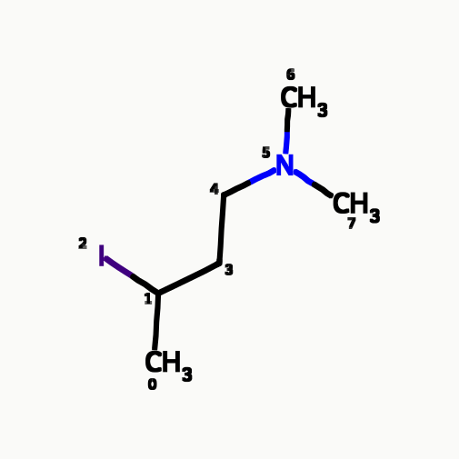 CC(I)CCN(C)C